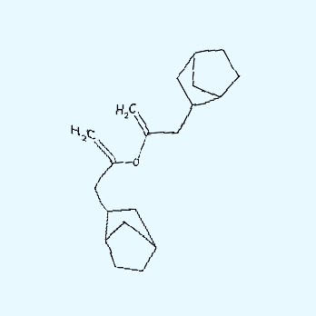 C=C(CC1CC2CCC1C2)OC(=C)CC1CC2CCC1C2